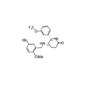 COc1ccc(C(C)(C)C)cc1CN[C@H]1CCC(=O)N[C@H]1c1cccc(OC(F)(F)F)c1